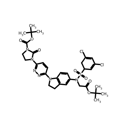 CC(C)(C)OC(=O)CN(c1ccc2c(c1)CCN2c1ccc(N2CCN(C(=O)OC(C)(C)C)C2=O)nn1)S(=O)(=O)C1C=C(Cl)C=C(Cl)C1